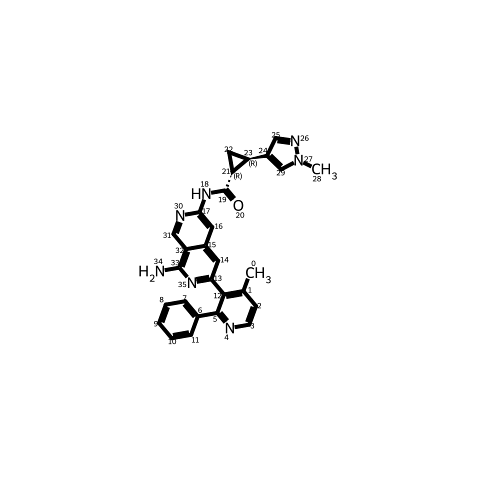 Cc1ccnc(-c2ccccc2)c1-c1cc2cc(NC(=O)[C@@H]3C[C@H]3c3cnn(C)c3)ncc2c(N)n1